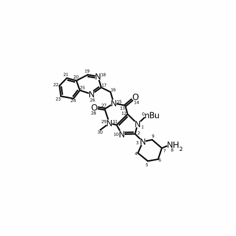 CCCCn1c(N2CCCC(N)C2)nc2c1c(=O)n(Cc1ncc3ccccc3n1)c(=O)n2C